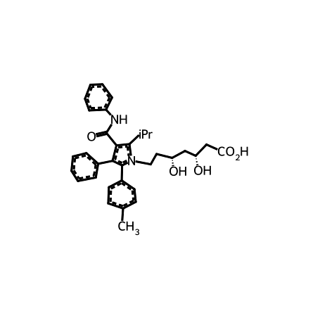 Cc1ccc(-c2c(-c3ccccc3)c(C(=O)Nc3ccccc3)c(C(C)C)n2CC[C@@H](O)C[C@@H](O)CC(=O)O)cc1